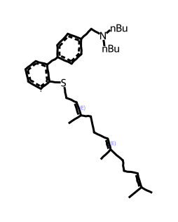 CCCCN(CCCC)Cc1ccc(-c2ccc[c]c2SC/C=C(\C)CC/C=C(\C)CCC=C(C)C)cc1